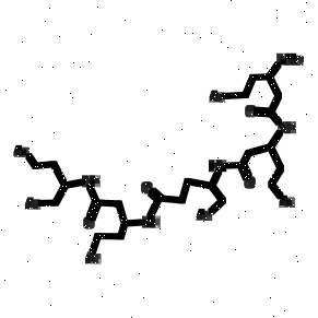 CNC(CCC(C)=O)CC(=O)NC(CCC(C)=O)CC(=O)NC(CCC(=O)NC(CCC(C)=O)CC(=O)NC(CCC(C)=O)CC(C)=O)CC(C)=O